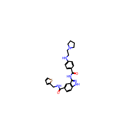 O=C(NCc1cccs1)c1ccc2[nH]nc(NC(=O)c3ccc(NCCN4CCCC4)cc3)c2c1